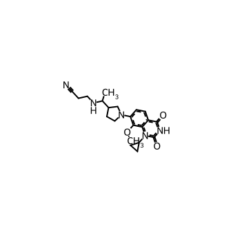 COc1c(N2CCC(C(C)NCCC#N)C2)ccc2c(=O)[nH]c(=O)n(C3CC3)c12